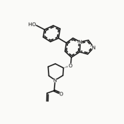 C=CC(=O)N1CCC[C@H](Oc2cc(-c3ccc(O)cc3)cn3cncc23)C1